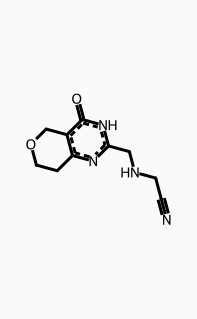 N#CCNCc1nc2c(c(=O)[nH]1)COCC2